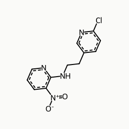 O=[N+]([O-])c1cccnc1NCCc1ccc(Cl)nc1